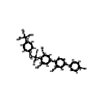 Cc1ccc(-c2ccc(-c3cc(F)c(C(F)(F)Oc4ccc(C(F)(F)F)cc4)c(F)c3)c(F)c2)cc1